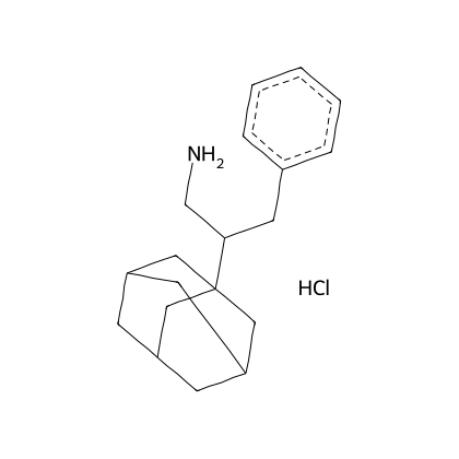 Cl.NCC(Cc1ccccc1)C12CC3CC(CC(C3)C1)C2